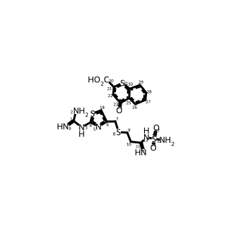 N=C(N)Nc1nc(CSCCC(=N)NS(N)(=O)=O)cs1.O=C(O)c1cc(=O)c2ccccc2s1